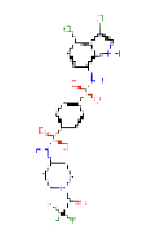 O=C(N1CCC(NS(=O)(=O)c2ccc(S(=O)(=O)Nc3ccc(Cl)c4c(Cl)c[nH]c34)cc2)CC1)C(F)(F)F